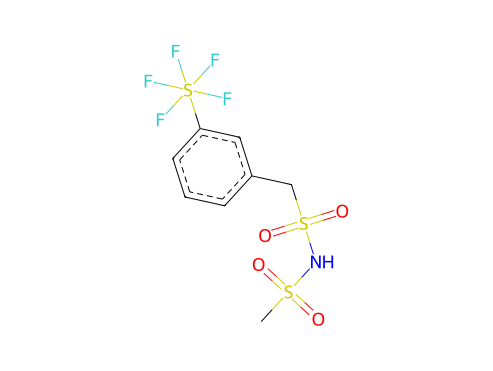 CS(=O)(=O)NS(=O)(=O)Cc1cccc(S(F)(F)(F)(F)F)c1